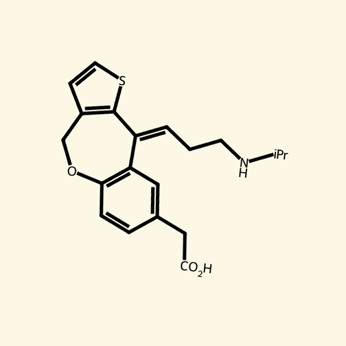 CC(C)NCCC=C1c2cc(CC(=O)O)ccc2OCc2ccsc21